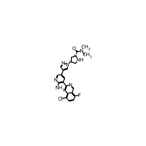 CN(C)C(=O)[C@@H]1C[C@H](n2cc(-c3cnc(N)c(-c4cc5c(Cl)ccc(F)c5cn4)c3)cn2)CN1